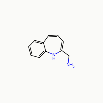 NCC1=CC=Cc2ccccc2N1